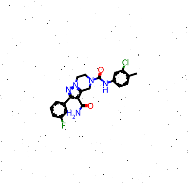 Cc1ccc(NC(=O)N2CCn3nc(-c4cccc(F)c4)c(C(N)=O)c3C2)cc1Cl